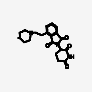 O=C1CCC(N2C(=O)c3cccc(CCN4CC[CH]CC4)c3C2=O)C(=O)N1